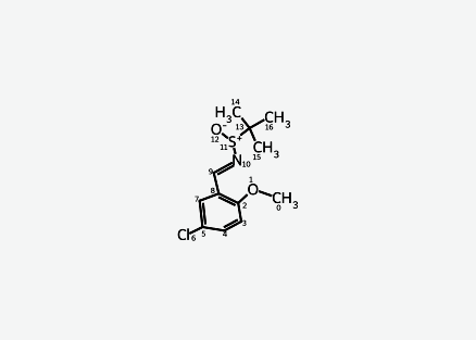 COc1ccc(Cl)cc1/C=N/[S+]([O-])C(C)(C)C